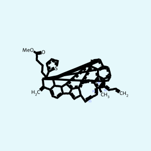 C=C/C=c1/c2c3cc4c5c6c7c8c9c%10c%11c(c1c3c%10c48)C/C(=C\C)C%111C(=C)C3=CC=C(C6=CC5/C=C\C=2)C7C3C=9C1(CCCC(=O)OC)c1cccs1